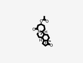 CC(=O)O[C@H]1CC[C@]2(C)[C@H]3CC[C@]4(C)C(=O)CC[C@H]4[C@@H]3CCN2C(=O)C1